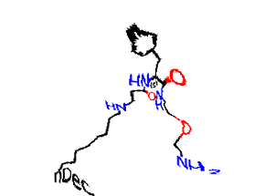 CCCCCCCCCCCCCCCCCCNCCC(=O)N[C@@H](Cc1ccccc1)C(=O)NCCOCCN